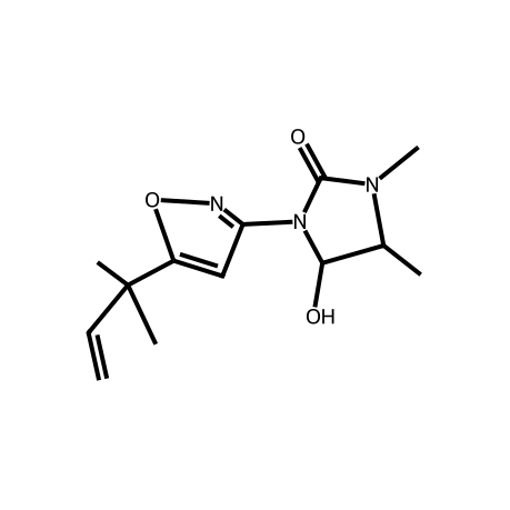 C=CC(C)(C)c1cc(N2C(=O)N(C)C(C)C2O)no1